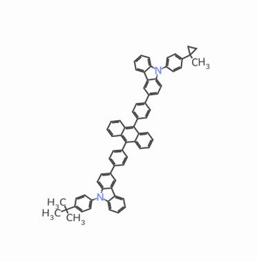 CC(C)(C)c1ccc(-n2c3ccccc3c3cc(-c4ccc(-c5c6ccccc6c(-c6ccc(-c7ccc8c(c7)c7ccccc7n8-c7ccc(C8(C)CC8)cc7)cc6)c6ccccc56)cc4)ccc32)cc1